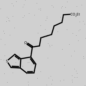 CCOC(=O)CCCCCCC(=O)c1cccc2cscc12